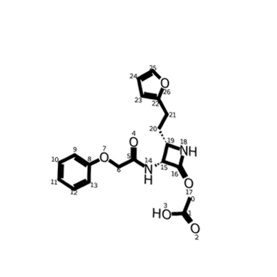 CC(=O)O.O=C(COc1ccccc1)N[C@H]1C(=O)N[C@H]1CCc1ccco1